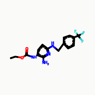 CCOC(=O)Nc1ccc(NCc2ccc(C(F)(F)F)cc2)nc1N